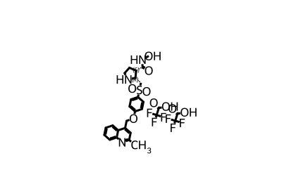 Cc1cc(COc2ccc(S(=O)(=O)C[C@@H]3NCC[C@@H]3C(=O)NO)cc2)c2ccccc2n1.O=C(O)C(F)(F)F.O=C(O)C(F)(F)F